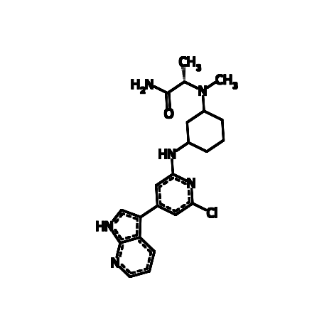 C[C@@H](C(N)=O)N(C)C1CCCC(Nc2cc(-c3c[nH]c4ncccc34)cc(Cl)n2)C1